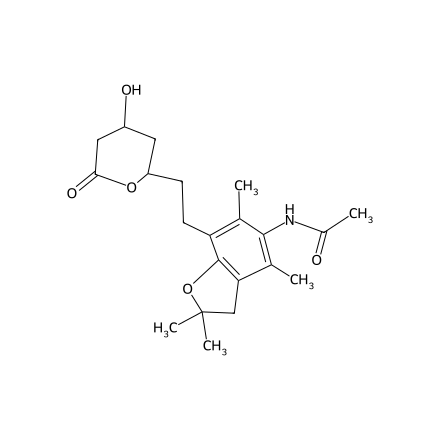 CC(=O)Nc1c(C)c(CCC2CC(O)CC(=O)O2)c2c(c1C)CC(C)(C)O2